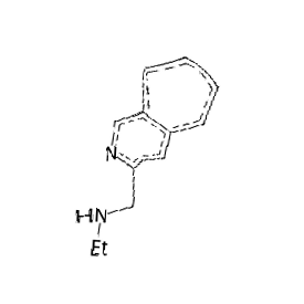 CCNCc1cc2ccccc2cn1